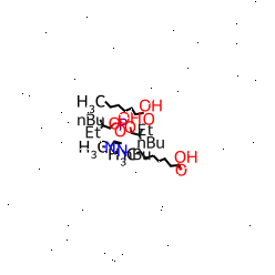 CCCCC(CC)COP(=O)(O)OCC(CC)CCCC.CCCCCCCC(=O)O.CCCCCCCC(=O)O.CCCCN1C=CN(C)C1